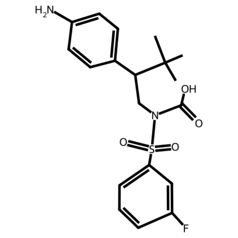 CC(C)(C)C(CN(C(=O)O)S(=O)(=O)c1cccc(F)c1)c1ccc(N)cc1